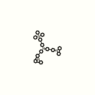 c1ccc([Si](c2ccccc2)(c2ccccc2)c2ccc(-c3ccc(N(c4ccc(-c5ccc(-n6c7ccccc7c7ccccc76)cc5)cc4)c4ccc(-c5ccc6c7cccc8c9ccccc9n(c6c5)c87)cc4)cc3)cc2)cc1